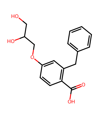 O=C(O)c1ccc(OCC(O)CO)cc1Cc1ccccc1